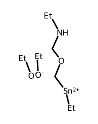 CCNCO[CH2][Sn+2][CH2]C.CC[O-].CC[O-]